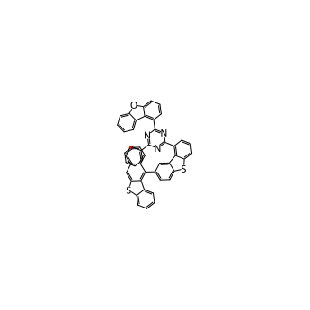 c1ccc(-c2nc(-c3cccc4oc5ccccc5c34)nc(-c3cccc4sc5ccc(-c6c7ccccc7cc7sc8ccccc8c67)cc5c34)n2)cc1